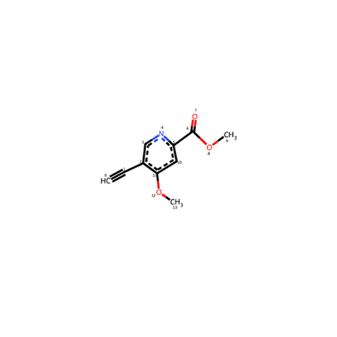 C#Cc1cnc(C(=O)OC)cc1OC